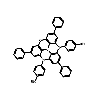 CC(C)(C)c1ccc(N2c3cc(-c4ccccc4)cc4c3B3c5c(cc(-c6ccccc6)cc5N(c5ccc(C(C)(C)C)cc5)c5cc(-c6ccccc6)cc2c53)O4)cc1